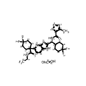 Cc1nonc1C(=O)N[C@H](c1nc2nc(C3(C(=O)NCC(F)(F)F)CCC(F)(F)CC3)ccc2[nH]1)C1CCC(F)(F)CC1.O=CO